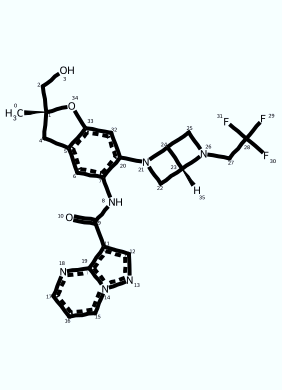 C[C@]1(CO)Cc2cc(NC(=O)c3cnn4cccnc34)c(N3C[C@@H]4C3CN4CC(F)(F)F)cc2O1